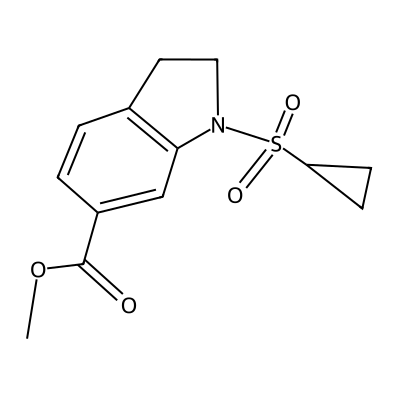 COC(=O)c1ccc2c(c1)N(S(=O)(=O)C1CC1)CC2